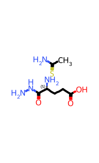 CC(N)=S.NNC(=O)[C@@H](N)CCC(=O)O